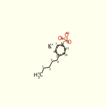 CCCCCc1ccc(S(=O)(=O)[O-])cc1.[K+]